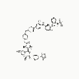 Cc1ncsc1-c1ccc(CNC(=O)[C@@H]2C[C@@H](O)CN2C(=O)[C@@H](NC(=O)CN2CCN(CC3CCN(c4ccc(Nc5ncc(Cl)c(Nc6ccccc6N(C)S(C)(=O)=O)n5)c(Cl)c4)CC3)CC2)C(C)(C)C)cc1